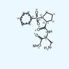 COC(=O)[C@H](CN)NC(=O)[C@@H]1CCCN1S(=O)(=O)c1ccccc1